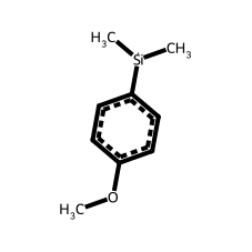 COc1ccc([Si](C)C)cc1